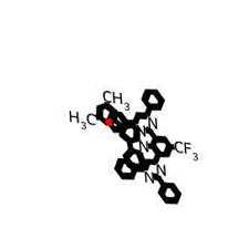 Cc1cc(C)cc(-c2ccc3c(c2)c2ccccc2n3-c2c(-c3cc(-c4ccccc4)nc(-c4ccccc4)n3)cc(C(F)(F)F)cc2-c2nc(-c3ccccc3)cc(-c3ccccc3)n2)c1